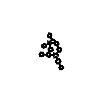 c1ccc(-c2ccc(-c3nc(-c4ccc(-c5ccccc5)cc4)nc(-c4cccc(-c5ccc6cc(-c7ccccc7)n7nc(-c8ccccc8)c(-c8ccccc8)c7c6c5)c4)n3)cc2)cc1